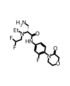 CCN(CC(F)F)[C@H](CN)C(=O)Nc1ccc(N2CCOCC2=O)c(F)c1